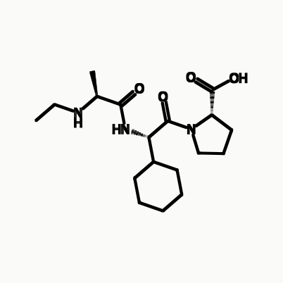 CCN[C@@H](C)C(=O)N[C@H](C(=O)N1CCC[C@H]1C(=O)O)C1CCCCC1